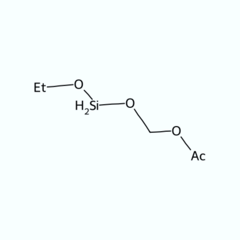 CCO[SiH2]OCOC(C)=O